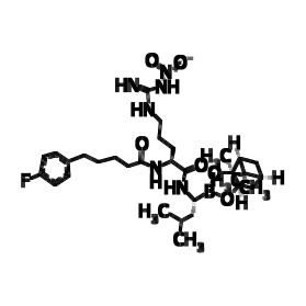 CC(C)C[C@H](NC(=O)[C@H](CCCNC(=N)N[N+](=O)[O-])NC(=O)CCCCc1ccc(F)cc1)B1O[C@@H]2C[C@@H]3C[C@@H](C3(C)C)[C@]2(C)O1